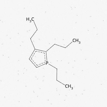 CCCc1ccp(CCC)c1CCC